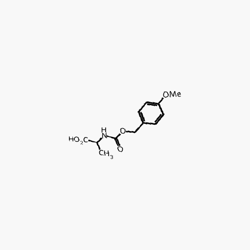 COc1ccc(COC(=O)N[C@@H](C)C(=O)O)cc1